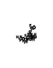 Cc1c(F)c(N)cc(-c2nc3c4c(nc(OCC5CC(F)C6CCCN56)nc4c2F)N2C[C@H]4CC[C@H](N4)[C@H]2[C@H](C)O3)c1C(F)(F)F